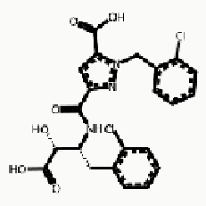 O=C(N[C@H](Cc1ccccc1Cl)[C@@H](O)C(=O)O)c1cc(C(=O)O)n(Cc2ccccc2Cl)n1